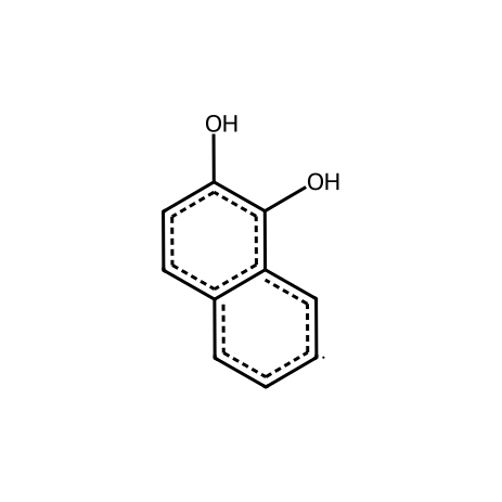 Oc1ccc2cc[c]cc2c1O